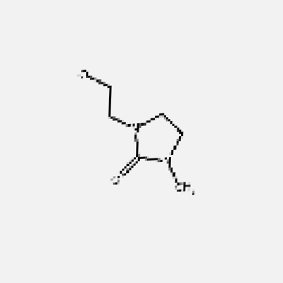 CN1CCN(CC[O])C1=O